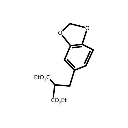 CCOC(=O)C(Cc1ccc2c(c1)OCO2)C(=O)OCC